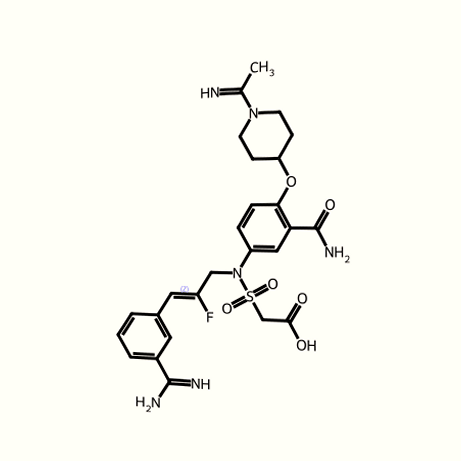 CC(=N)N1CCC(Oc2ccc(N(C/C(F)=C/c3cccc(C(=N)N)c3)S(=O)(=O)CC(=O)O)cc2C(N)=O)CC1